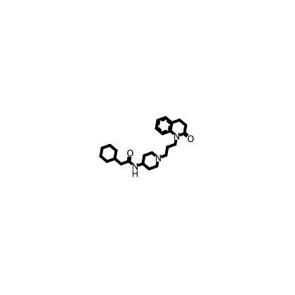 O=C(CC1CCCCC1)NC1CCN(CCCN2C(=O)CCc3ccccc32)CC1